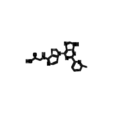 Cc1cccc(-c2nc(-n3ccc4c(NCC(=O)O)nccc43)c3nc[nH]c3n2)n1